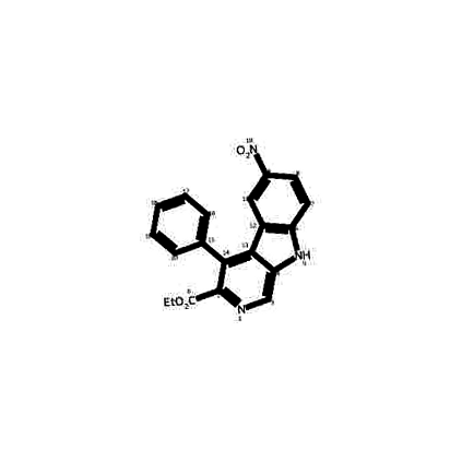 CCOC(=O)c1ncc2[nH]c3ccc([N+](=O)[O-])cc3c2c1-c1ccccc1